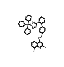 Cc1cc(OCc2ccc(-c3ccccc3-c3nnn(C(c4ccccc4)(c4ccccc4)c4ccccc4)n3)cc2)c2cccc(C)c2n1